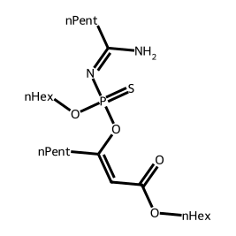 CCCCCCOC(=O)C=C(CCCCC)OP(=S)(N=C(N)CCCCC)OCCCCCC